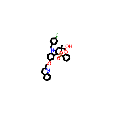 CC(C)(Cc1c(S(=O)(=O)c2ccccc2)c2cc(OCc3ccc4ccccc4n3)ccc2n1Cc1ccc(Cl)cc1)C(=O)O